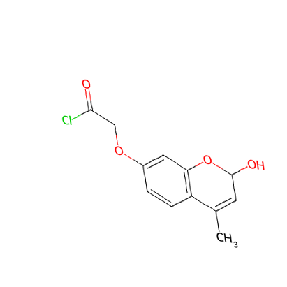 CC1=CC(O)Oc2cc(OCC(=O)Cl)ccc21